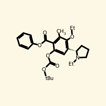 CCOc1c([C@@H]2CCCN2CC)cc(OC(=O)OC(C)(C)C)c(C(=O)Oc2ccccc2)c1C